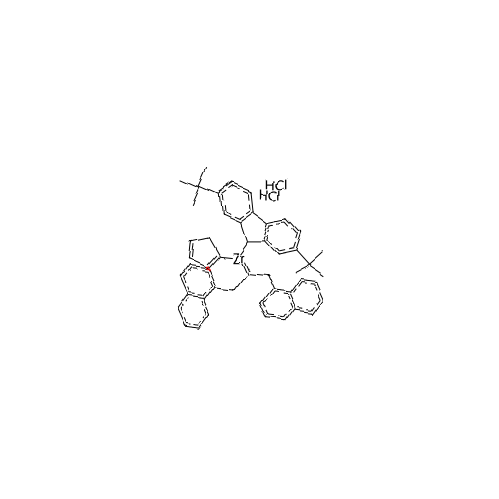 CC(C)(C)c1ccc2c(c1)[CH]([Zr]([C]1=CC=CC1)=[C](Cc1cccc3ccccc13)Cc1cccc3ccccc13)c1cc(C(C)(C)C)ccc1-2.Cl.Cl